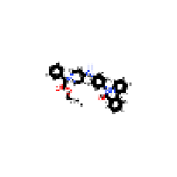 CCOC(=O)C(c1ccccc1)N1CCC(Nc2ccc(NC(=O)c3ccccc3-c3ccccc3)cc2)CC1